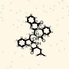 CC(C)CC1NC2(O)C(C[C@@H]3NC(=O)c4ccccc4-n4c3nc3ccccc3c4=O)c3ccccc3N2C1=O